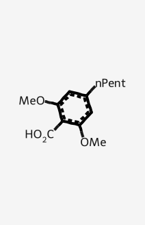 CCCCCc1cc(OC)c(C(=O)O)c(OC)c1